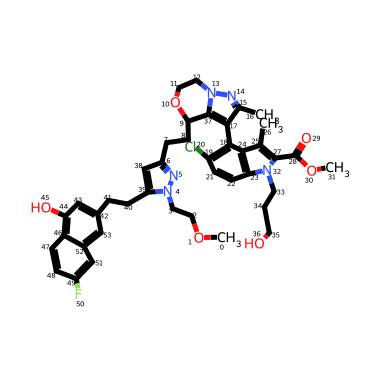 COCCn1nc(CCC2OCCn3nc(C)c(-c4c(Cl)ccc5c4c(C)c(C(=O)OC)n5CCCO)c32)cc1CCc1cc(O)c2ccc(F)cc2c1